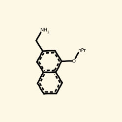 CCCOc1cc(CN)cc2ccccc12